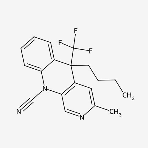 CCCCC1(C(F)(F)F)c2ccccc2N(C#N)c2cnc(C)cc21